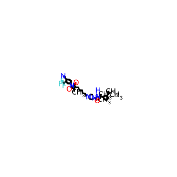 C=C(C)c1cccc(C(C)(C)NC(=O)N2CCN(CCCCCCC3=C(C)C(=O)N(c4ccc(C#N)c(C(F)(F)F)c4)C3=O)CC2)c1